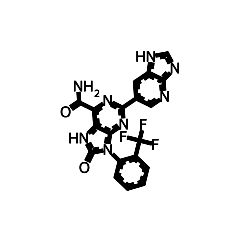 NC(=O)c1nc(-c2cnc3nc[nH]c3c2)nc2c1[nH]c(=O)n2-c1ccccc1C(F)(F)F